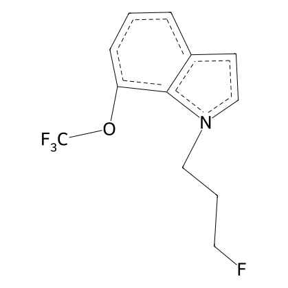 FCCCn1ccc2cccc(OC(F)(F)F)c21